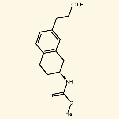 CC(C)(C)OC(=O)N[C@H]1CCc2ccc(CCC(=O)O)cc2C1